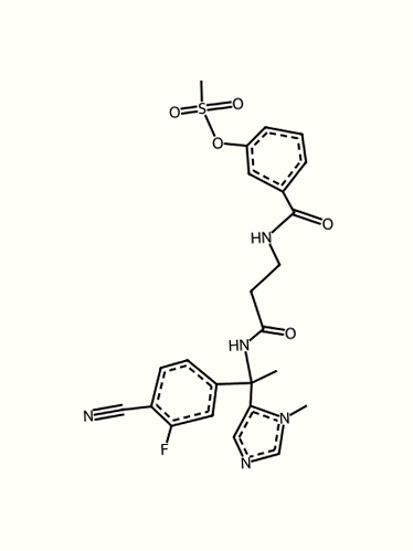 Cn1cncc1C(C)(NC(=O)CCNC(=O)c1cccc(OS(C)(=O)=O)c1)c1ccc(C#N)c(F)c1